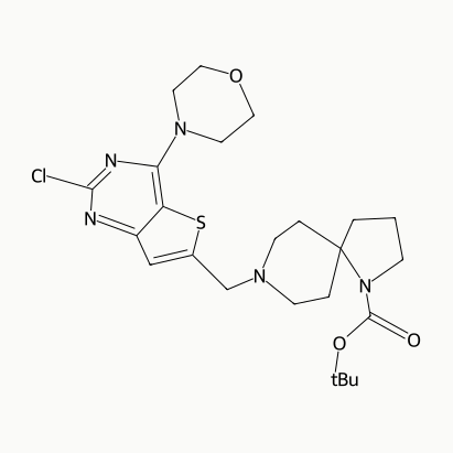 CC(C)(C)OC(=O)N1CCCC12CCN(Cc1cc3nc(Cl)nc(N4CCOCC4)c3s1)CC2